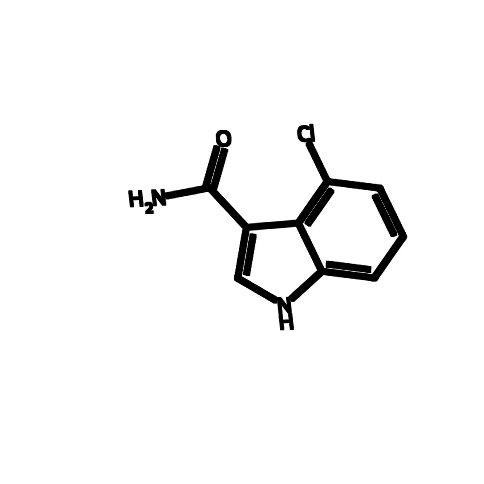 NC(=O)c1c[nH]c2cccc(Cl)c12